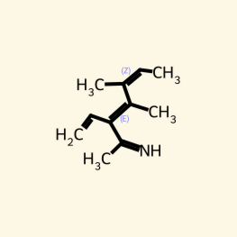 C=C/C(C(C)=N)=C(C)\C(C)=C/C